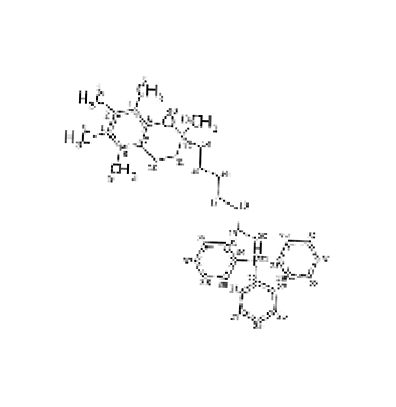 Cc1c(C)c(C)c2c(c1C)CCC(C)(CCCCCCC[PH](c1ccccc1)(c1ccccc1)c1ccccc1)O2